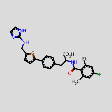 CCc1cc(F)cc(C)c1C(=O)NC(Cc1ccc(-c2ccc(CNc3ncc[nH]3)s2)cc1)C(=O)O